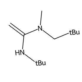 C=C(NC(C)(C)C)N(C)CC(C)(C)C